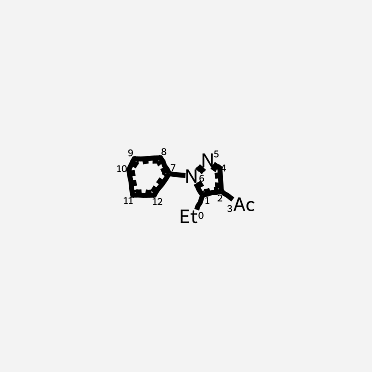 CCc1c(C(C)=O)cnn1-c1ccccc1